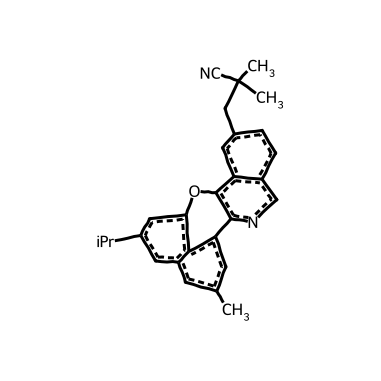 Cc1cc2c3c(cc(C(C)C)cc3c1)Oc1c-2ncc2ccc(CC(C)(C)C#N)cc12